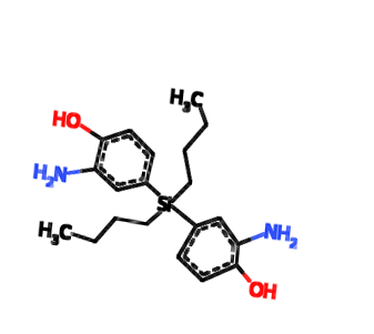 CCCC[Si](CCCC)(c1ccc(O)c(N)c1)c1ccc(O)c(N)c1